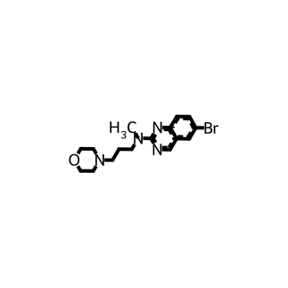 CN(CCCN1CCOCC1)c1ncc2cc(Br)ccc2n1